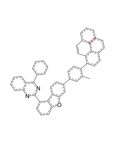 Cc1cc(-c2ccc3c(c2)oc2cccc(-c4nc(-c5ccccc5)c5ccccc5n4)c23)ccc1-c1ccc2ccccc2c1/C=C\c1ccccc1